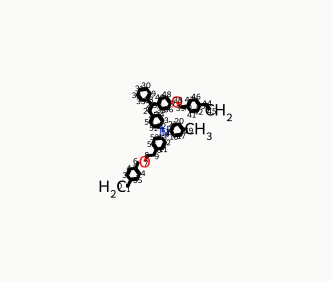 C=Cc1ccc(COCCc2ccc(N(c3ccc(C)cc3)c3ccc(C=C(c4ccccc4)c4ccc(OCc5ccc(C=C)cc5)cc4)cc3)cc2)cc1